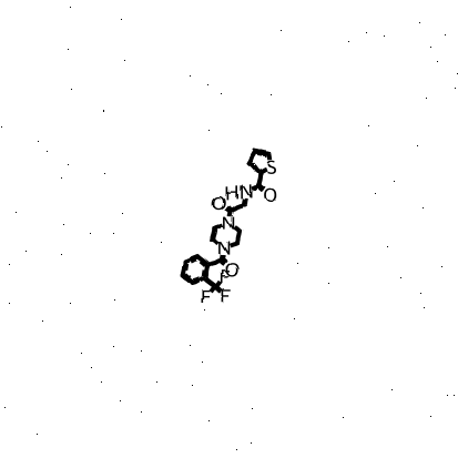 O=C(NCC(=O)N1CCN(C(=O)c2ccccc2C(F)(F)F)CC1)C1CC=CS1